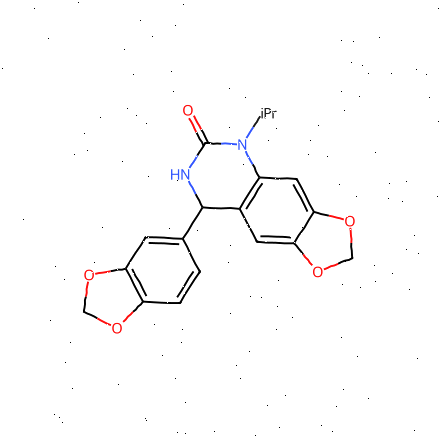 CC(C)N1C(=O)NC(c2ccc3c(c2)OCO3)c2cc3c(cc21)OCO3